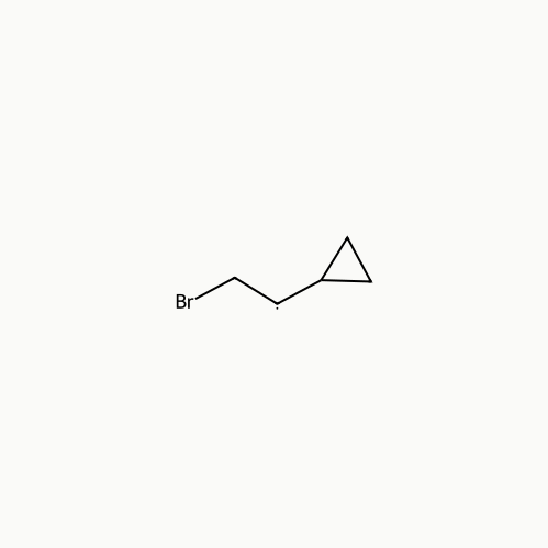 BrC[CH]C1CC1